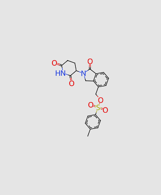 Cc1ccc(S(=O)(=O)OCc2cccc3c2CN(C2CCC(=O)NC2=O)C3=O)cc1